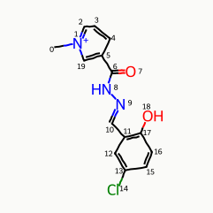 C[n+]1cccc(C(=O)N/N=C/c2cc(Cl)ccc2O)c1